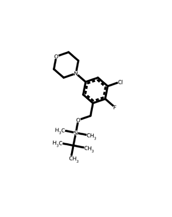 CC(C)(C)[Si](C)(C)OCc1cc(N2CCOCC2)cc(Cl)c1F